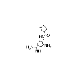 Cc1cccc(C(=O)NCc2ccc(C(=N)N)cc2N)c1